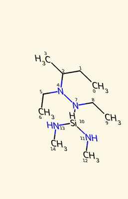 CCC(C)N(CC)N(CC)[SiH](NC)NC